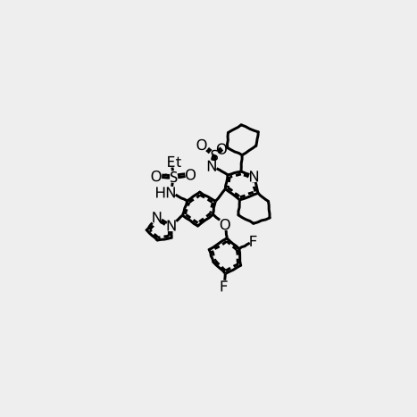 CCS(=O)(=O)Nc1cc(-c2c3c(nc(C4CCCCC4)c2N=S(=O)=O)CCCC3)c(Oc2ccc(F)cc2F)cc1-n1cccn1